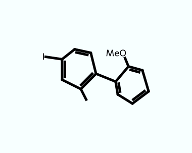 COc1ccccc1-c1ccc(I)cc1C